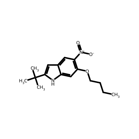 CCCCOc1cc2[nH]c(C(C)(C)C)cc2cc1[N+](=O)[O-]